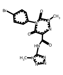 Cn1nnnc1NC(=O)c1nn(C)c(=O)n(-c2ccc(Br)cc2)c1=O